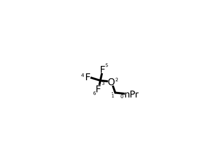 CCC[CH]OC(F)(F)F